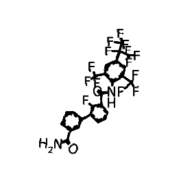 NC(=O)c1cccc(-c2cccc(C(=O)Nc3c(C(F)(F)F)cc(C(F)(C(F)(F)F)C(F)(F)F)cc3C(F)(F)F)c2F)c1